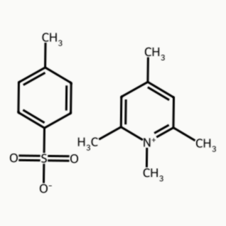 Cc1cc(C)[n+](C)c(C)c1.Cc1ccc(S(=O)(=O)[O-])cc1